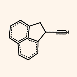 N#CC1Cc2cccc3cccc1c23